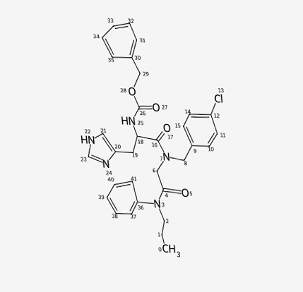 CCCN(C(=O)CN(Cc1ccc(Cl)cc1)C(=O)C(Cc1c[nH]cn1)NC(=O)OCc1ccccc1)c1ccccc1